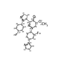 COc1cn(-c2ccc(-n3cccn3)cc2F)nc(C2CC=NN2c2ccc(F)cc2)c1=O